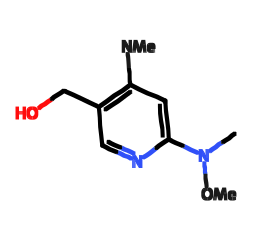 CNc1cc(N(C)OC)ncc1CO